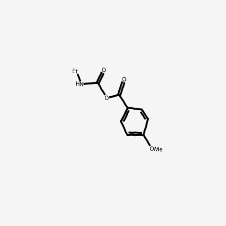 [CH2]CNC(=O)OC(=O)c1ccc(OC)cc1